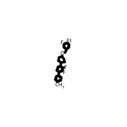 CCc1ccc(COC2CCC(c3ccc(-c4ccc(C)cc4)c(F)c3F)CC2)cc1F